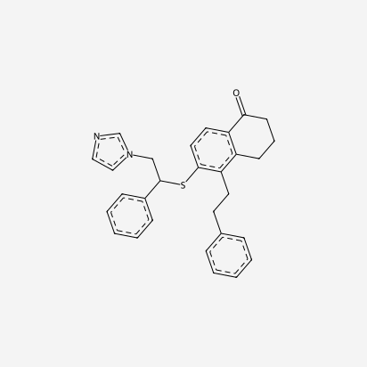 O=C1CCCc2c1ccc(SC(Cn1ccnc1)c1ccccc1)c2CCc1ccccc1